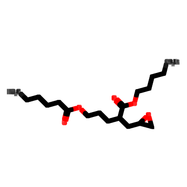 CCOC(=O)CCCCOC(=O)C(CCCOC(=O)CCCCC(=O)O)CC1CO1